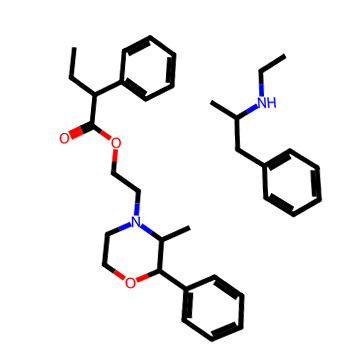 CCC(C(=O)OCCN1CCOC(c2ccccc2)C1C)c1ccccc1.CCNC(C)Cc1ccccc1